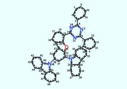 c1ccc(-c2nc(-c3ccccc3)nc(-c3cccc4c3oc3c(-n5c6ccccc6c6ccccc65)cc(-n5c6ccccc6c6ccccc65)cc34)n2)cc1